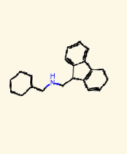 C1=CC2=C(CC1)c1ccccc1C2CNCC1CCCCC1